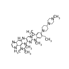 CCc1cc(N(C)c2ncc(N)c(N(C)c3ccc4nccnc4c3N(C)SC)n2)c(OC)cc1N1CCC(N2CCN(C)CC2)CC1